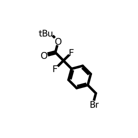 CC(C)(C)OC(=O)C(F)(F)c1ccc(CBr)cc1